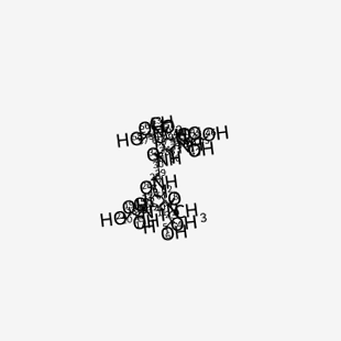 CN(CC(O)CO)C(=O)c1c(I)c(NC(=O)C(O)C(O)CO)c(I)c(C(=O)NCCCNC(=O)c2c(I)c(NC(=O)C(O)C(O)CO)c(I)c(C(=O)N(C)CC(O)CO)c2I)c1I